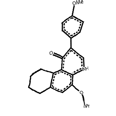 CCCOc1cc2c(c3c(=O)c(-c4ccc(OC)cc4)c[nH]c13)CCCC2